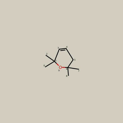 CC1(C)C=CCC(C)(C)O1